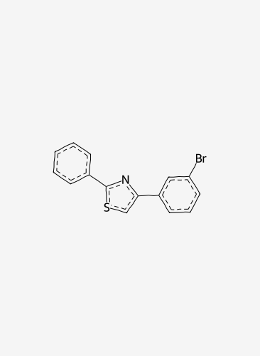 Brc1cccc(-c2csc(-c3ccccc3)n2)c1